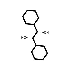 O[C@@H](C1CCCCC1)[C@@H](O)C1CCCCC1